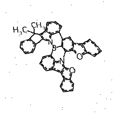 CC1(C)c2ccccc2-c2c1c1cccc3c1n2B1c2c-3cc3c(oc4ccccc43)c2-n2c3oc4ccccc4c3c3cccc1c32